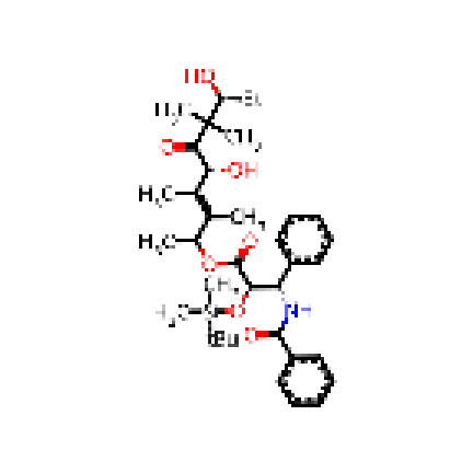 CC[C@H](O)C(C)(C)C(=O)[C@H](O)/C(C)=C(\C)C(C)OC(=O)[C@H](O[Si](C)(C)C(C)(C)C)[C@@H](NC(=O)c1ccccc1)c1ccccc1